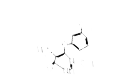 Cl.Nc1c(Oc2cccc(C(F)(F)F)c2)nc[nH]c1=O